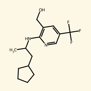 CC(CC1CCCC1)Nc1ncc(C(F)(F)F)cc1CO